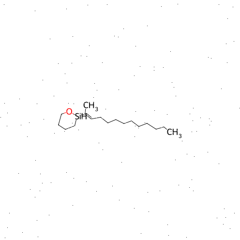 CCCCCCCCCC/C=C(\C)[SiH]1CCCCO1